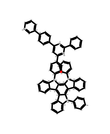 c1ccc(-c2nc(-c3ccc(-c4cccnc4)cc3)cc(-c3ccc(-n4c5ccccc5c5c6c7ccccc7n(-c7ccccc7)c6c6c7ccccc7n(-c7ccccc7)c6c54)cc3)n2)cc1